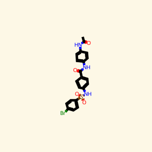 CC(=O)Nc1ccc(NC(=O)c2ccc(NS(=O)(=O)c3ccc(Br)cc3)cc2)cc1